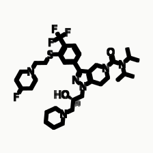 CC(C)N(C(=O)N1CCc2c(c(-c3ccc(C(F)(F)F)c(SCCN4CCC(F)CC4)c3)nn2C[C@@H](O)CN2CCCCC2)C1)C(C)C